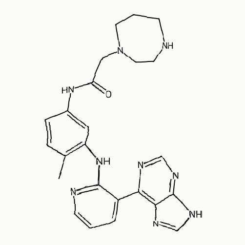 Cc1ccc(NC(=O)CN2CCCNCC2)cc1Nc1ncccc1-c1ncnc2[nH]cnc12